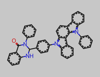 O=C1c2ccccc2NC(c2ccc(-n3c4ccccc4c4c3ccc3c5ccccc5n(-c5ccccc5)c34)cc2)N1c1ccccc1